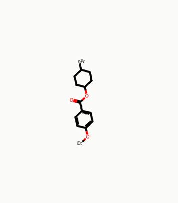 CCCC1CCC(OC(=O)c2ccc(OCC)cc2)CC1